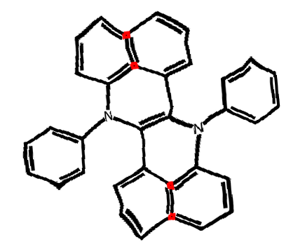 c1ccc(C(=C(c2ccccc2)N(c2ccccc2)c2ccccc2)N(c2ccccc2)c2ccccc2)cc1